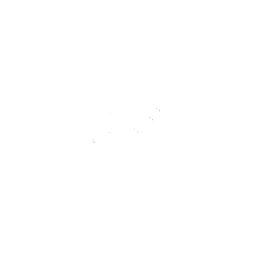 Cc1nn(-c2nc3c(s2)SC(C)c2cc(Cl)c(Cl)cc2-3)c(C(=O)O)c1Br